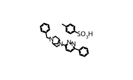 Cc1ccc(S(=O)(=O)O)cc1.c1ccc(CN2CC3CC2CN3c2ccc(-c3ccccc3)nn2)cc1